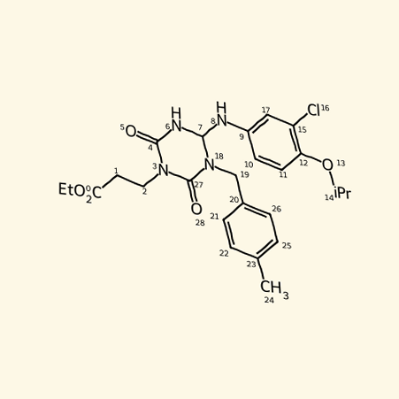 CCOC(=O)CCN1C(=O)NC(Nc2ccc(OC(C)C)c(Cl)c2)N(Cc2ccc(C)cc2)C1=O